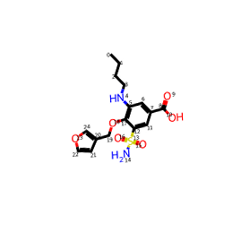 CCCCNc1cc(C(=O)O)cc(S(N)(=O)=O)c1OCc1ccoc1